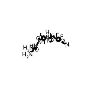 CCc1cc(Nc2nccn3c(-c4ccc(OCC#N)c(F)c4F)cnc23)ccc1C(=O)NCCNC(=O)[C@@H](N)CCN